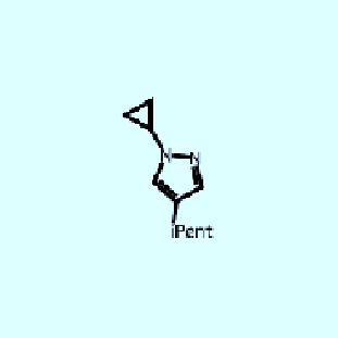 CCCC(C)c1cnn(C2CC2)c1